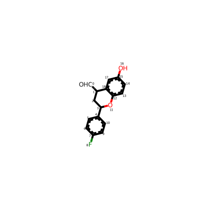 O=CC1CC(c2ccc(F)cc2)Oc2ccc(O)cc21